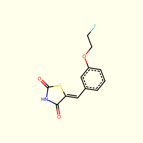 O=C1NC(=O)C(=Cc2cccc(OCCF)c2)S1